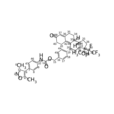 Cc1noc(C)c1-c1ccc(NC(=O)OCc2ccc([C@H]3C[C@@]4(C)[C@@H](CC[C@@]4(O)C(F)(F)C(F)(F)F)[C@@H]4CCC5=CC(=O)CCC5=C43)cc2)cc1